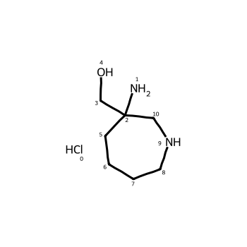 Cl.NC1(CO)CCCCNC1